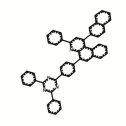 c1ccc(-c2cc(-c3ccc4ccccc4c3)c3c(n2)c(-c2ccc(-c4nc(-c5ccccc5)nc(-c5ccccc5)n4)cc2)cc2ccccc23)cc1